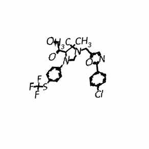 CC1(C)C(C(=O)C=O)N(c2ccc(SC(F)(F)F)cc2)CN1Cc1cnc(-c2ccc(Cl)cc2)o1